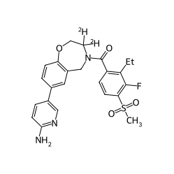 [2H]C1([2H])COc2ccc(-c3ccc(N)nc3)cc2CN1C(=O)c1ccc(S(C)(=O)=O)c(F)c1CC